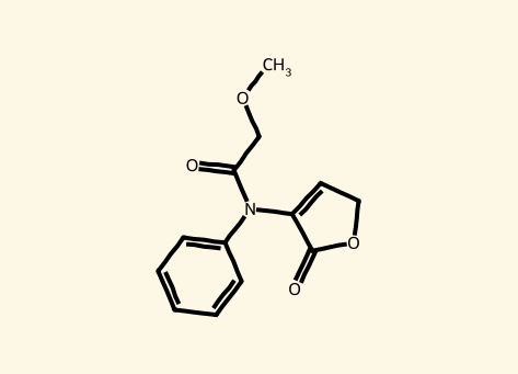 COCC(=O)N(C1=CCOC1=O)c1ccccc1